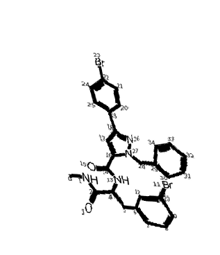 CNC(=O)C(Cc1cccc(Br)c1)NC(=O)c1cc(-c2ccc(Br)cc2)nn1Cc1ccccc1